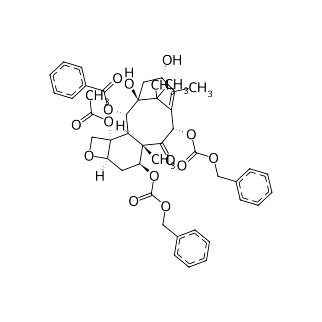 CC(=O)O[C@@]12CO[C@@H]1C[C@H](OC(=O)OCc1ccccc1)[C@@]1(C)C(=O)[C@@H](OC(=O)OCc3ccccc3)C3=C(C)[C@@H](O)C[C@@](O)([C@@H](OC(=O)c4ccccc4)[C@H]21)C3(C)C